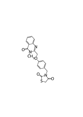 Cn1c(COc2ccc(CN3C(=O)CSC3=O)cc2)nc2ccccc2c1=O